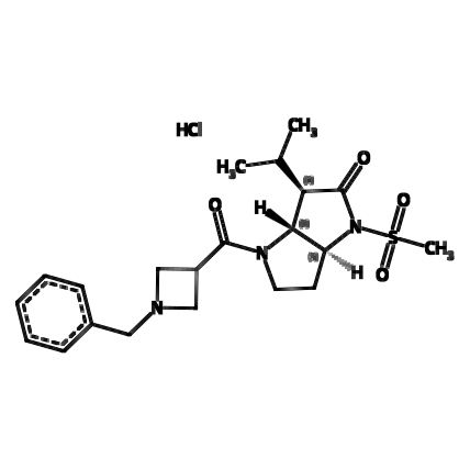 CC(C)[C@H]1C(=O)N(S(C)(=O)=O)[C@H]2CCN(C(=O)C3CN(Cc4ccccc4)C3)[C@H]12.Cl